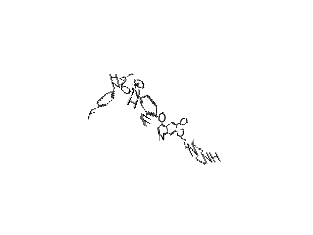 COc1cc2c(Oc3ccc(NC(=O)[C@]4(C(=O)Nc5ccc(F)cc5)C[C@H]4C)cc3F)ccnc2cc1OCCCN1CCNCC1C